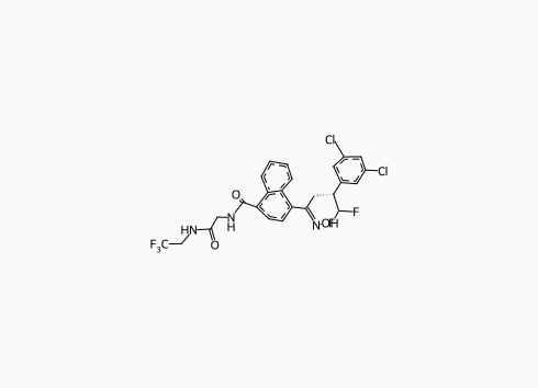 O=C(CNC(=O)c1ccc(/C(C[C@H](c2cc(Cl)cc(Cl)c2)C(F)F)=N/O)c2ccccc12)NCC(F)(F)F